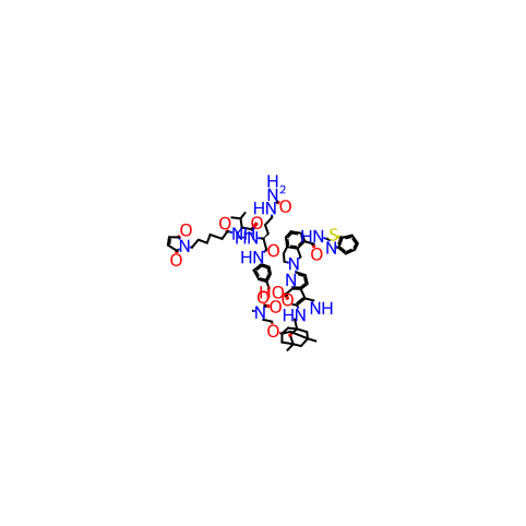 C/C(NCC12CC3(C)CC(C)(C1)CC(OCCN(C)C(=O)OCc1ccc(NC(=O)[C@H](CCCNC(N)=O)NC(=O)[C@@H](NC(=O)CCCCCN4C(=O)C=CC4=O)C(C)C)cc1)(C3)C2)=C(/C=N)c1ccc(N2CCc3cccc(C(=O)Nc4nc5ccccc5s4)c3C2)nc1C(=O)O